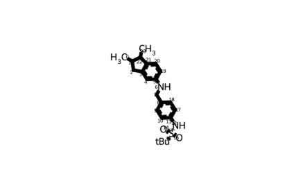 CC1Cc2cc(NCc3ccc(NS(=O)(=O)C(C)(C)C)cc3)ccc2C1C